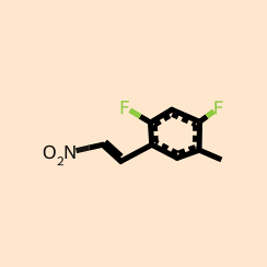 Cc1cc(/C=C/[N+](=O)[O-])c(F)cc1F